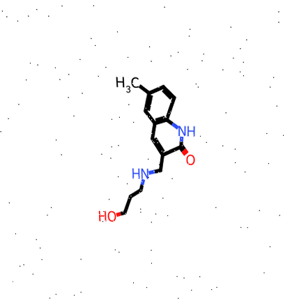 Cc1ccc2[nH]c(=O)c(CNCCCO)cc2c1